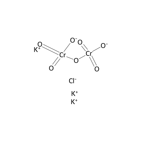 [Cl-].[K+].[K+].[K+].[O]=[Cr](=[O])([O-])[O][Cr](=[O])(=[O])[O-]